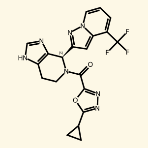 O=C(c1nnc(C2CC2)o1)N1CCc2[nH]cnc2[C@H]1c1cc2c(C(F)(F)F)cccn2n1